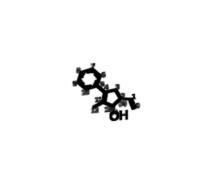 C=C[C@@H]1CC(c2ccccc2)=C(C)[C@H]1O